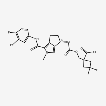 Cn1cc2c(c1C(=O)Nc1ccc(F)c(Cl)c1)CC[C@H]2NC(=O)OCC1(C(=O)O)CC(F)(F)C1